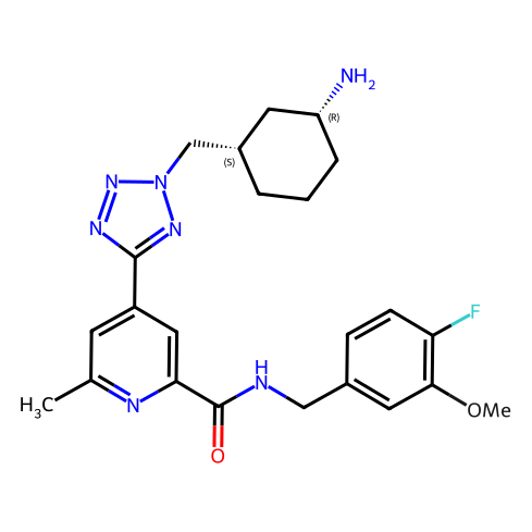 COc1cc(CNC(=O)c2cc(-c3nnn(C[C@H]4CCC[C@@H](N)C4)n3)cc(C)n2)ccc1F